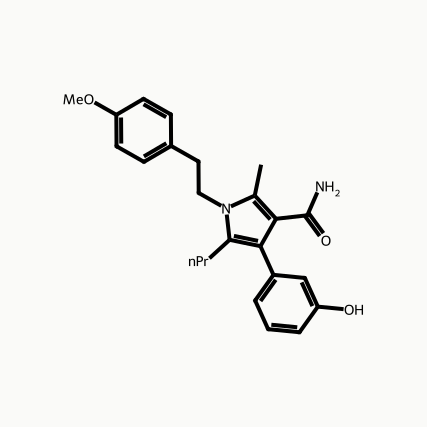 CCCc1c(-c2cccc(O)c2)c(C(N)=O)c(C)n1CCc1ccc(OC)cc1